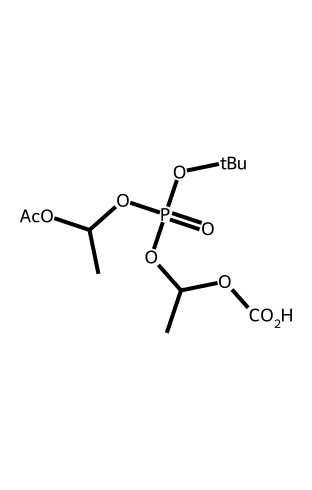 CC(=O)OC(C)OP(=O)(OC(C)OC(=O)O)OC(C)(C)C